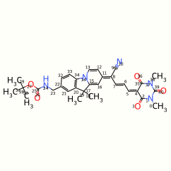 CN1C(=O)C(=CC=CC(C#N)=C2C=CN3C(=C2)C(C)(C)c2cc(CNC(=O)OC(C)(C)C)ccc23)C(=O)N(C)C1=O